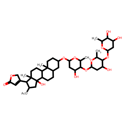 CC(=O)OC1CC2(O)C3CCC4CC(OC5CC(O)C(OC6CC(O)C(OC7CC(O)C(O)C(C)O7)C(C)O6)C(C)O5)CCC4(C)C3CCC2(C)C1C1=CC(=O)OC1